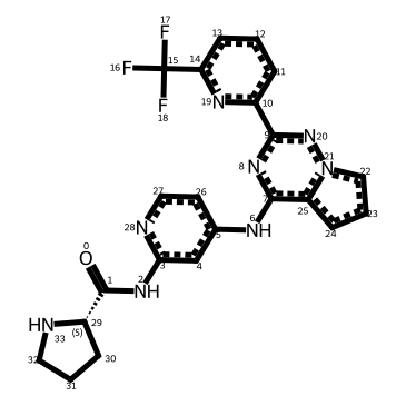 O=C(Nc1cc(Nc2nc(-c3cccc(C(F)(F)F)n3)nn3cccc23)ccn1)[C@@H]1CCCN1